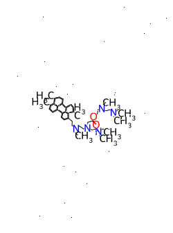 CCN(CC)CCN(CC)CCOC(=O)CN(CCN(CC)CC)CCN(CC)CCc1ccc2c3ccc(C)c4c(C)ccc(c5ccc(C)c1c52)c43